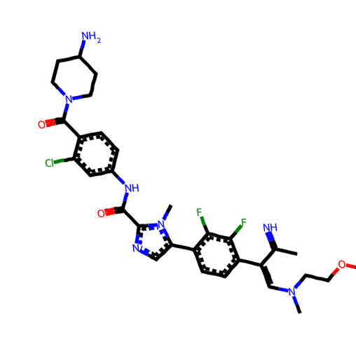 COCCN(C)/C=C(\C(C)=N)c1ccc(-c2cnc(C(=O)Nc3ccc(C(=O)N4CCC(N)CC4)c(Cl)c3)n2C)c(F)c1F